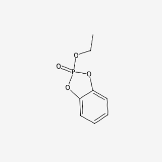 CCOP1(=O)Oc2ccccc2O1